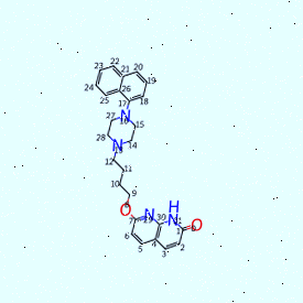 O=c1ccc2ccc(OCCCCN3CCN(c4cccc5ccccc45)CC3)nc2[nH]1